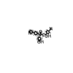 N#Cc1ccc([C@@H](O)CS[C@H]2C(=O)N(c3ccc(-c4cccnc4)cc3)[C@H]2c2ccc(O)cc2)cc1